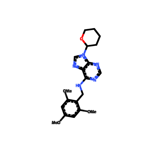 COc1cc(OC)c(CNc2ncnc3c2ncn3C2CCCCO2)c(OC)c1